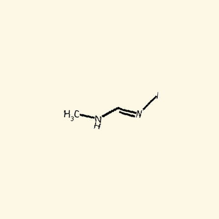 CN/C=N/I